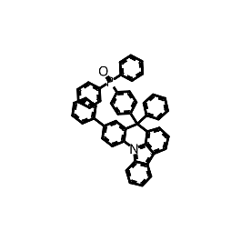 O=P(c1ccccc1)(c1ccccc1)c1ccc(C2(c3ccccc3)c3cc(-c4ccccc4)ccc3-n3c4ccccc4c4cccc2c43)cc1